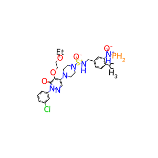 CCOCCOc1c(N2CCN([S+]([O-])NCc3ccc(C)c([NH+]([O-])P)c3)CC2)cnn(-c2cccc(Cl)c2)c1=O